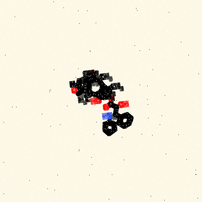 CO[C@H]1C[C@H]2OC[C@@]2(C)[C@H]2[C@H](C)[C@]3(O)C[C@H](OC(=O)[C@H](O)[C@@H](Nc4ccccc4)c4ccccc4)C(C)=C([C@@H](C)C(=O)[C@]12C)C3(C)C